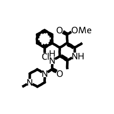 COC(=O)C1=C(C)NC(C)=C(NC(=O)N2CCN(C)CC2)C1c1ccccc1Cl